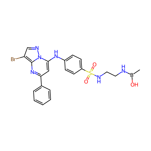 CB(O)NCCNS(=O)(=O)c1ccc(Nc2cc(-c3ccccc3)nc3c(Br)cnn23)cc1